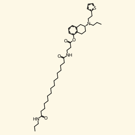 CCCNC(=O)CCCCCCCCCCCCCCC(=O)NCCC(=O)Oc1cccc2c1CC[C@H](N(CCC)CCc1cccs1)C2